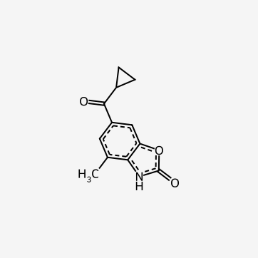 Cc1cc(C(=O)C2CC2)cc2oc(=O)[nH]c12